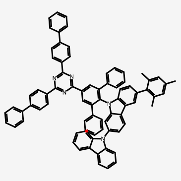 Cc1cc(C)c(-c2ccc3c(c2)c2ccc(-n4c5ccccc5c5ccccc54)cc2n3-c2c(-c3ccccc3)cc(-c3nc(-c4ccc(-c5ccccc5)cc4)nc(-c4ccc(-c5ccccc5)cc4)n3)cc2-c2ccccc2)c(C)c1